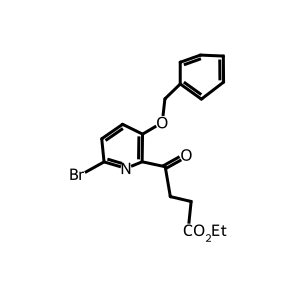 CCOC(=O)CCC(=O)c1nc(Br)ccc1OCc1ccccc1